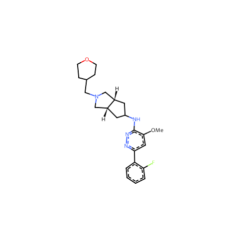 COc1cc(-c2ccccc2F)nnc1NC1C[C@@H]2CN(CC3CCOCC3)C[C@@H]2C1